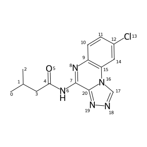 CC(C)CC(=O)Nc1nc2ccc(Cl)cc2n2cnnc12